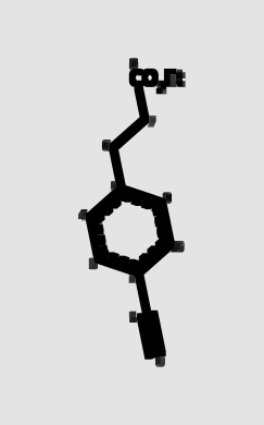 C#Cc1ccc(CCC(=O)OCC)cc1